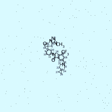 Cn1cnnc1CC1(c2cccc(N3Cc4c(cc(CN5CCC6(CC5)CC6)cc4C(F)(F)F)C3=O)c2)COC1